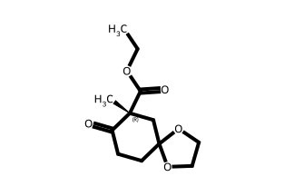 CCOC(=O)[C@]1(C)CC2(CCC1=O)OCCO2